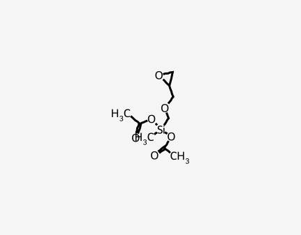 CC(=O)O[Si](C)(COCC1CO1)OC(C)=O